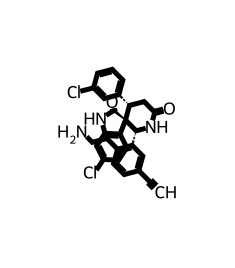 C#Cc1ccc(CCN)c([C@H]2NC(=O)C[C@@H](c3cccc(Cl)c3)[C@]23C(=O)Nc2cc(Cl)ccc23)c1